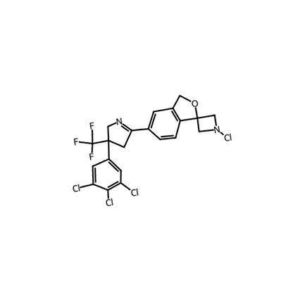 FC(F)(F)C1(c2cc(Cl)c(Cl)c(Cl)c2)CN=C(c2ccc3c(c2)COC32CN(Cl)C2)C1